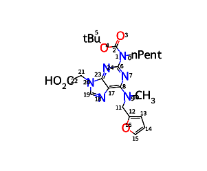 CCCCCN(C(=O)OC(C)(C)C)c1nc(N(C)Cc2ccco2)c2ncn(CC(=O)O)c2n1